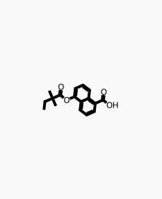 CCC(C)(C)C(=O)Oc1cccc2c(C(=O)O)cccc12